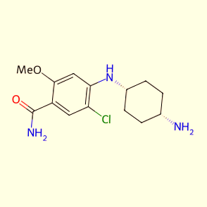 COc1cc(N[C@H]2CC[C@@H](N)CC2)c(Cl)cc1C(N)=O